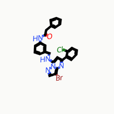 O=C(Cc1ccccc1)Nc1cccc(CNc2cc(-c3ccccc3Cl)nc3c(Br)cnn23)c1